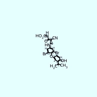 C=C(C)c1cc(Oc2c(Br)cc(NN=C(C#N)C(=O)NC(=O)O)cc2Br)ccc1O